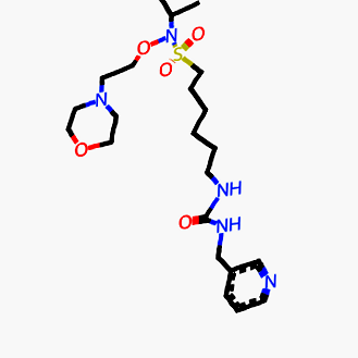 CC(C)N(OCCN1CCOCC1)S(=O)(=O)CCCCCCNC(=O)NCc1cccnc1